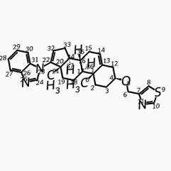 C[C@]12CC[C@H](OCc3cscn3)CC1=CC[C@@H]1[C@@H]2CC[C@]2(C)C(n3cnc4ccccc43)=CC[C@@H]12